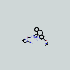 CC(C)(C)NC(=O)c1ccc2c(c1)CCc1cc(F)ccc1C2(CCNCC(=O)N1C(C#N)C[C@@H]2C[C@@H]21)c1nnn[nH]1